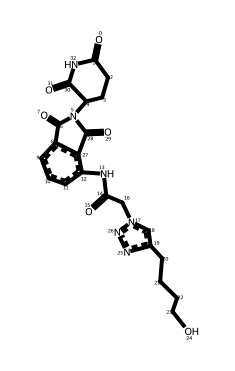 O=C1CCC(N2C(=O)c3cccc(NC(=O)Cn4cc(CCCCO)nn4)c3C2=O)C(=O)N1